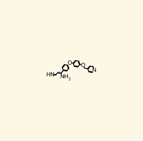 N=C/C=C(\N)c1ccc(Oc2ccc(OCc3ccncc3)cc2)cc1